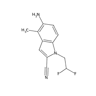 Cc1c(N)ccc2c1cc(C#N)n2CC(F)F